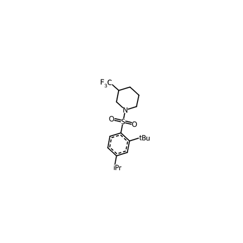 CC(C)c1ccc(S(=O)(=O)N2CCCC(C(F)(F)F)C2)c(C(C)(C)C)c1